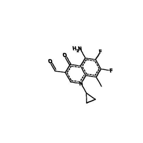 Cc1c(F)c(F)c(N)c2c(=O)c(C=O)cn(C3CC3)c12